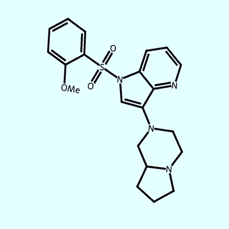 COc1ccccc1S(=O)(=O)n1cc(N2CCN3CCCC3C2)c2ncccc21